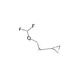 FC(F)OC[CH]C1CC1